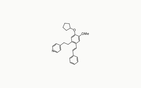 COc1cc(C=Cc2ccccc2)c(CCc2ccncc2)cc1OC1CCCC1